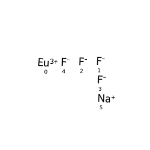 [Eu+3].[F-].[F-].[F-].[F-].[Na+]